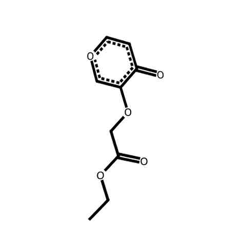 CCOC(=O)COc1coccc1=O